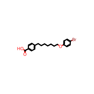 O=C(O)c1ccc(CCCCCCCOc2ccc(Br)cc2)cc1